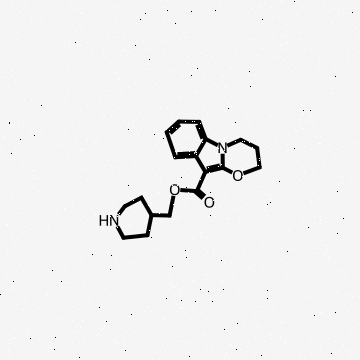 O=C(OCC1CCNCC1)c1c2n(c3ccccc13)CCCO2